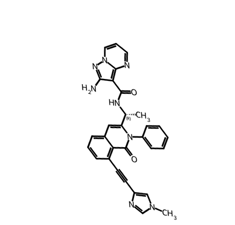 C[C@@H](NC(=O)c1c(N)nn2cccnc12)c1cc2cccc(C#Cc3cn(C)cn3)c2c(=O)n1-c1ccccc1